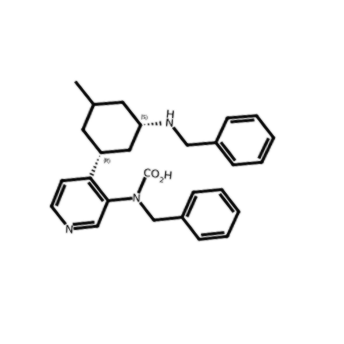 CC1C[C@H](NCc2ccccc2)C[C@H](c2ccncc2N(Cc2ccccc2)C(=O)O)C1